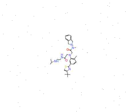 Cc1ccc(-c2nc(C(C)(C)C)cs2)cc1N(CC(=O)NCCNC(C)C)CC(=O)N(C)N1Cc2ccccc2C1